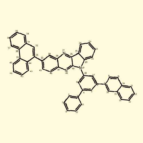 c1ccc(-c2cc(-c3ccc4ccccc4c3)cc(-n3c4ccccc4c4nc5cc(-c6cc7ccccc7c7ccccc67)ccc5nc43)c2)cc1